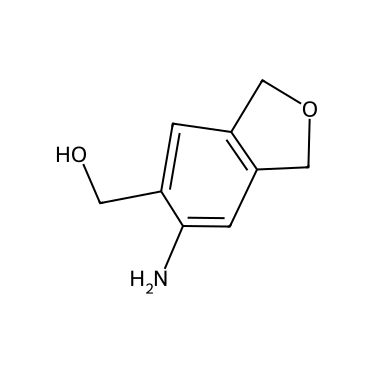 Nc1cc2c(cc1CO)COC2